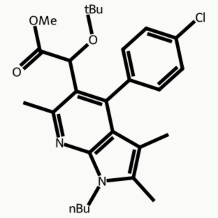 CCCCn1c(C)c(C)c2c(-c3ccc(Cl)cc3)c(C(OC(C)(C)C)C(=O)OC)c(C)nc21